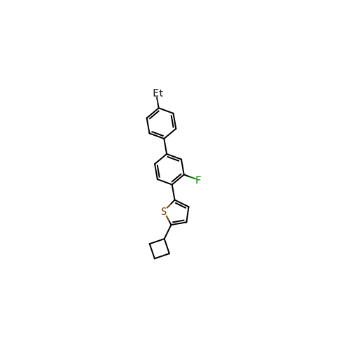 CCc1ccc(-c2ccc(-c3ccc(C4CCC4)s3)c(F)c2)cc1